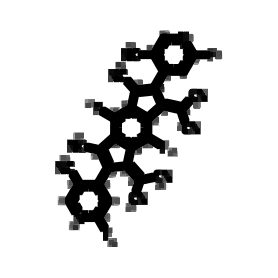 N#CC(C#N)=C1C(c2cc(F)ncc2C#N)=C(C#N)c2c(F)c3c(c(F)c21)C(=C(C#N)C#N)C(c1cc(F)ncc1C#N)=C3C#N